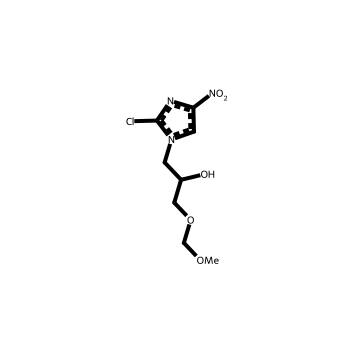 COCOCC(O)Cn1cc([N+](=O)[O-])nc1Cl